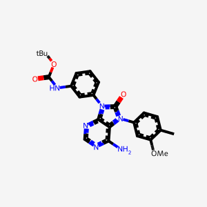 COc1cc(-n2c(=O)n(-c3cccc(NC(=O)OC(C)(C)C)c3)c3ncnc(N)c32)ccc1C